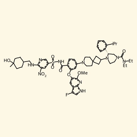 CCN(CC)C(=O)N1CCN(C2CC3(CCN(c4ccc(C(=O)NS(=O)(=O)c5cnc(NCC6CCC(C)(O)CC6)c([N+](=O)[O-])c5)c(Oc5cc6c(F)c[nH]c6nc5OC)c4)CC3)C2)[C@H](c2ccccc2C(C)C)C1